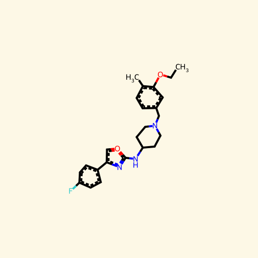 CCOc1cc(CN2CCC(Nc3nc(-c4ccc(F)cc4)co3)CC2)ccc1C